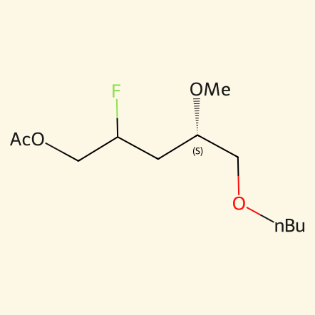 CCCCOC[C@H](CC(F)COC(C)=O)OC